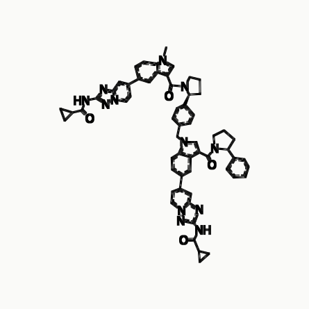 Cn1cc(C(=O)N2CCC[C@H]2c2ccc(Cn3cc(C(=O)N4CCCC4c4ccccc4)c4cc(-c5ccn6nc(NC(=O)C7CC7)nc6c5)ccc43)cc2)c2cc(-c3ccn4nc(NC(=O)C5CC5)nc4c3)ccc21